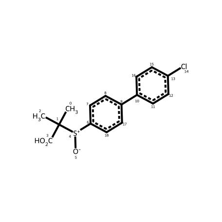 CC(C)(C(=O)O)[S+]([O-])c1ccc(-c2ccc(Cl)cc2)cc1